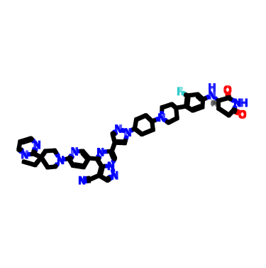 CCC1(c2ncccn2)CCN(c2ccc(-c3nc(-c4cnn(C5CCC(N6CCC(c7ccc(N[C@@H]8CCC(=O)NC8=O)cc7F)CC6)CC5)c4)cn4ncc(C#N)c34)cn2)CC1